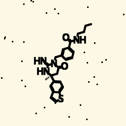 CCCCNC(=O)c1cccc(CN2C(=N)N[C@](C)(c3ccc4sccc4c3)CC2=O)c1